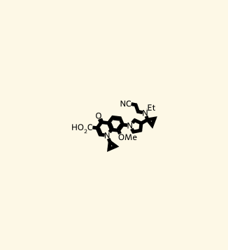 CCN(CCC#N)C1(C2CCN(c3ccc4c(=O)c(C(=O)O)cn(C5CC5)c4c3OC)C2)CC1